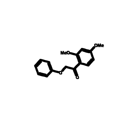 COc1ccc(C(=O)COc2ccccc2)c(OC)c1